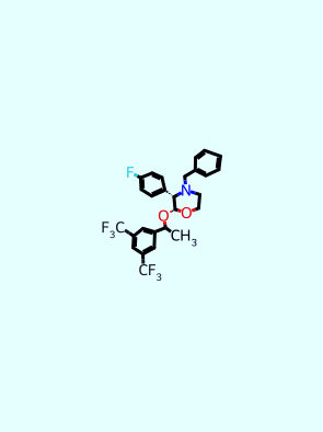 CC(O[C@H]1OCCN(Cc2ccccc2)[C@H]1c1ccc(F)cc1)c1cc(C(F)(F)F)cc(C(F)(F)F)c1